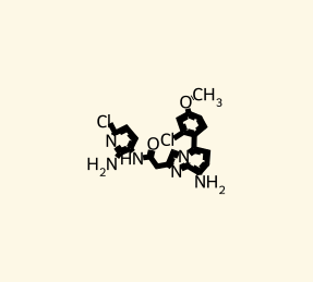 COc1ccc(-c2ccc(N)c3nc(CC(=O)Nc4ccc(Cl)nc4N)cn23)c(Cl)c1